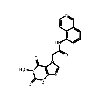 Cn1c(=O)[nH]c2ncn(CC(=O)Nc3cccc4cnccc34)c2c1=O